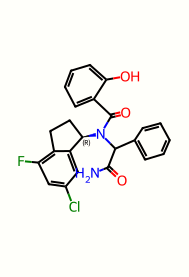 NC(=O)C(c1ccccc1)N(C(=O)c1ccccc1O)[C@@H]1CCc2c(F)cc(Cl)cc21